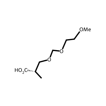 COCCOCOC[C@H](C)C(=O)O